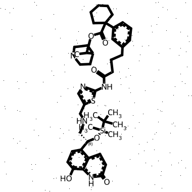 CC(C)(C)[Si](C)(C)O[C@@H](CNCc1cnc(NC(=O)CCCc2cccc(C3(C(=O)OC4CN5CCC4CC5)CCCCC3)c2)s1)c1ccc(O)c2[nH]c(=O)ccc12